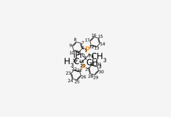 CC(C)C(C)(C(C)P(c1ccccc1)c1ccccc1)C(C)P(c1ccccc1)c1ccccc1